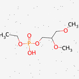 CCOP(=O)(O)OCC(COC)OC